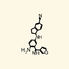 N#Cc1ccc2c(c1)CCC2Nc1ccc(N)c(C(=N)c2ccoc2)c1